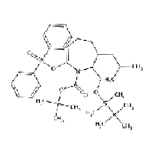 CC(C)CC1CCC=C(OP(=O)(c2ccccc2)c2ccccc2)N(C(=O)OC(C)(C)C)C1CO[Si](C)(C)C(C)(C)C